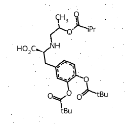 CC(CN[C@@H](Cc1ccc(OC(=O)C(C)(C)C)c(OC(=O)C(C)(C)C)c1)C(=O)O)OC(=O)C(C)C